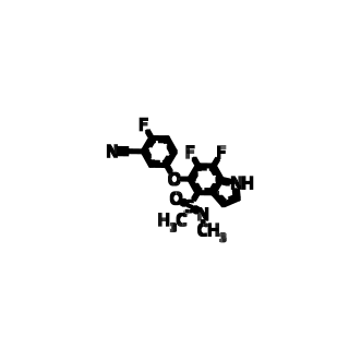 CN=S(C)(=O)c1c(Oc2ccc(F)c(C#N)c2)c(F)c(F)c2[nH]ccc12